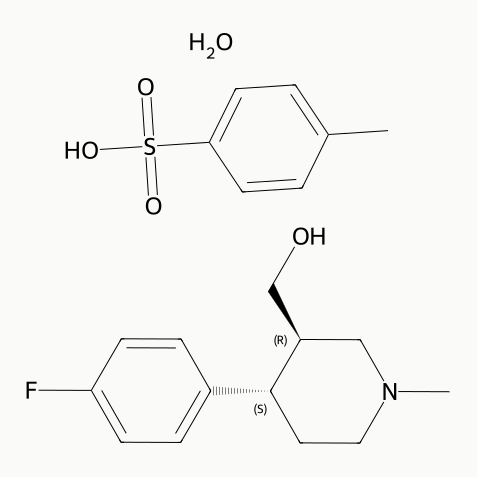 CN1CC[C@H](c2ccc(F)cc2)[C@@H](CO)C1.Cc1ccc(S(=O)(=O)O)cc1.O